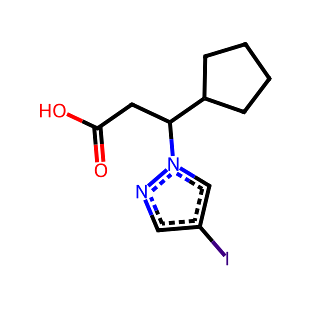 O=C(O)CC(C1CCCC1)n1cc(I)cn1